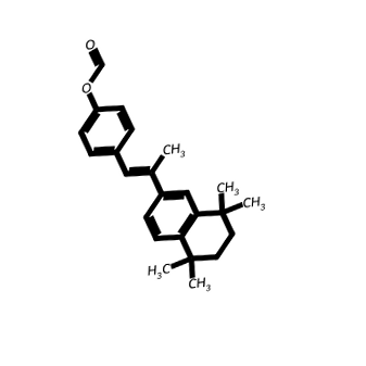 C/C(=C\c1ccc(OC=O)cc1)c1ccc2c(c1)C(C)(C)CCC2(C)C